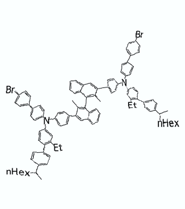 CCCCCCC(C)c1ccc(-c2ccc(N(c3ccc(-c4ccc(Br)cc4)cc3)c3ccc(-c4cc5ccccc5c(-c5c(C)c(-c6ccc(N(c7ccc(-c8ccc(Br)cc8)cc7)c7ccc(-c8ccc(C(C)CCCCCC)cc8)c(CC)c7)cc6)cc6ccccc56)c4C)cc3)cc2CC)cc1